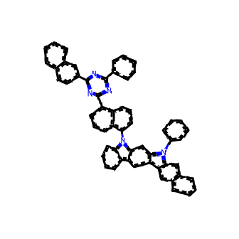 c1ccc(-c2nc(-c3ccc4ccccc4c3)nc(-c3cccc4c(-n5c6ccccc6c6cc7c8cc9ccccc9cc8n(-c8ccccc8)c7cc65)cccc34)n2)cc1